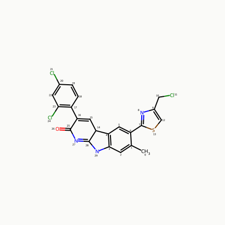 Cc1cc2c(cc1-c1nc(CCl)cs1)C1C=C(c3ccc(Cl)cc3Cl)C(=O)N=C1[N]2